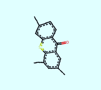 Cc1ccc2c(=O)c3cc(C)cc(C)c3sc2c1